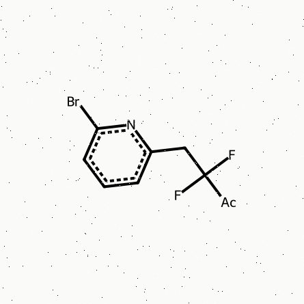 CC(=O)C(F)(F)Cc1cccc(Br)n1